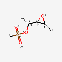 C[C@H]1O[C@H]1[C@@H](C)OS(C)(=O)=O